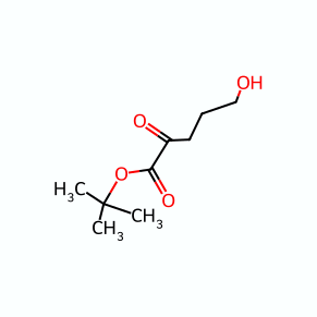 CC(C)(C)OC(=O)C(=O)CCCO